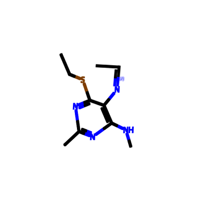 C/C=N\c1c(NC)nc(C)nc1SCC